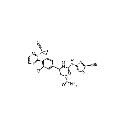 C#Cc1nc(NC(=O)NC(COC(N)=O)c2ccc(-c3cccnc3C3(C#N)CC3)c(Cl)c2)cs1